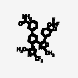 Cc1nc(-c2cc(-c3cccc(C(N)=O)c3)ccc2-n2cc(C(F)(F)F)nc2C)c(-c2ccc3c(c2)OC(F)(F)O3)o1